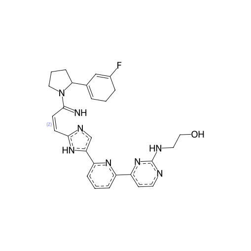 N=C(/C=C\c1ncc(-c2cccc(-c3ccnc(NCCO)n3)n2)[nH]1)N1CCCC1C1=CCCC(F)=C1